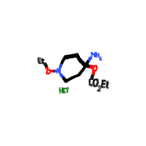 CCOC(=O)OC1(N)CCN(OCC)CC1.Cl